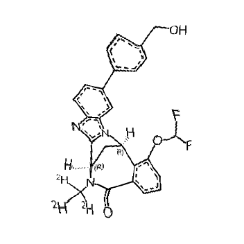 [2H]C([2H])([2H])N1C(=O)c2cccc(OC(F)F)c2[C@H]2C[C@@H]1c1nc3ccc(-c4ccc(CO)cc4)cc3n12